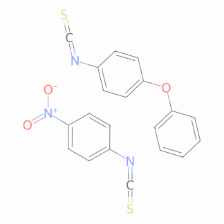 O=[N+]([O-])c1ccc(N=C=S)cc1.S=C=Nc1ccc(Oc2ccccc2)cc1